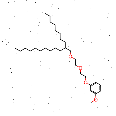 CCCCCCCCCCC(CCCCCCCC)COCCOCCOc1cccc(OC)c1